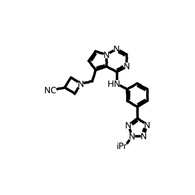 CC(C)n1nnc(-c2cccc(Nc3ncnn4ccc(CN5CC(C#N)C5)c34)c2)n1